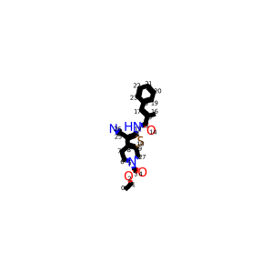 CCOC(=O)N1CCc2c(sc(NC(=O)C(C)=Cc3ccccc3)c2C#N)C1